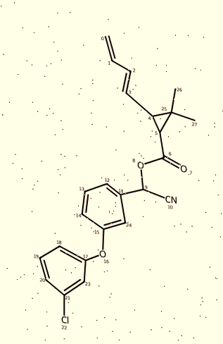 C=CC=CC1C(C(=O)OC(C#N)c2cccc(Oc3cccc(Cl)c3)c2)C1(C)C